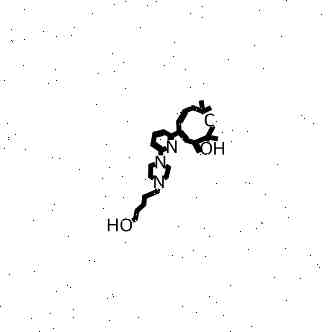 C=C1/C=C(c2cccc(N3CCN(CCCCCO)CC3)n2)\C=C/CC(C)(C)CCC1(C)O